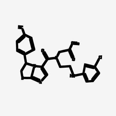 COC(=O)CN(CCNc1cccc(Cl)c1)C(=O)c1cnc2n1C(c1ccc(C#N)cc1)CS2